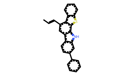 C/C=C/c1cc2c3ccc(-c4ccccc4)cc3[nH]c2c2sc3ccccc3c12